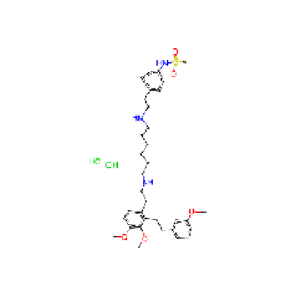 COc1cccc(CCc2c(CCNCCCCCCNCCc3ccc(NS(C)(=O)=O)cc3)ccc(OC)c2OC)c1.Cl.Cl